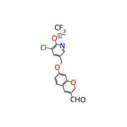 C[C@H](Oc1ncc(COc2ccc3c(c2)OCC(C=O)=C3)cc1Cl)C(F)(F)F